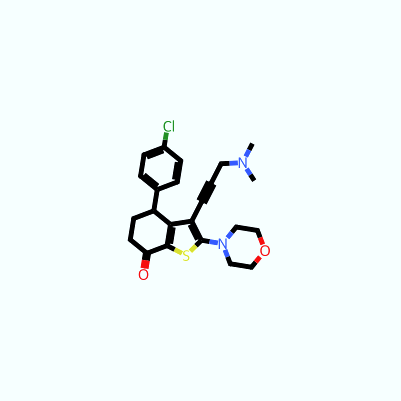 CN(C)CC#Cc1c(N2CCOCC2)sc2c1C(c1ccc(Cl)cc1)CCC2=O